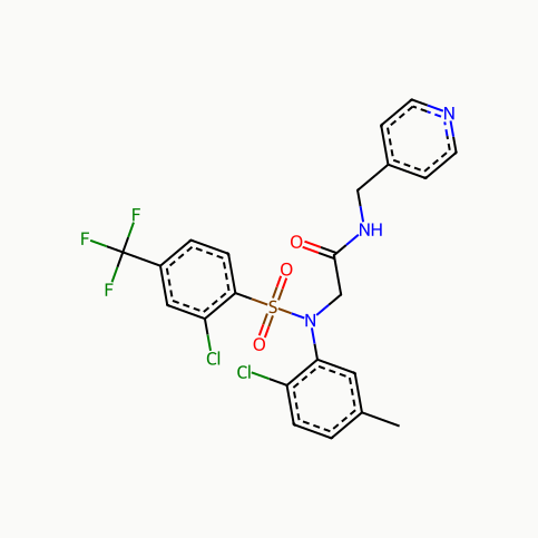 Cc1ccc(Cl)c(N(CC(=O)NCc2ccncc2)S(=O)(=O)c2ccc(C(F)(F)F)cc2Cl)c1